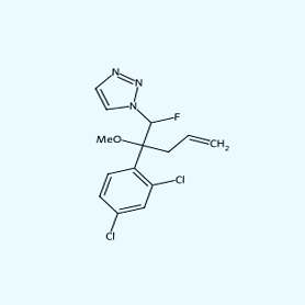 C=CCC(OC)(c1ccc(Cl)cc1Cl)C(F)n1ccnn1